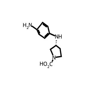 Nc1ccc(N[C@@H]2CCN(C(=O)O)C2)cc1